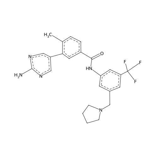 Cc1ccc(C(=O)Nc2cc(CN3CCCC3)cc(C(F)(F)F)c2)cc1-c1cnc(N)nc1